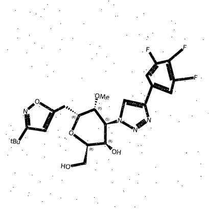 CO[C@@H]1[C@@H](n2cc(-c3cc(F)c(F)c(F)c3)nn2)[C@@H](O)[C@@H](CO)O[C@@H]1Cc1cc(C(C)(C)C)no1